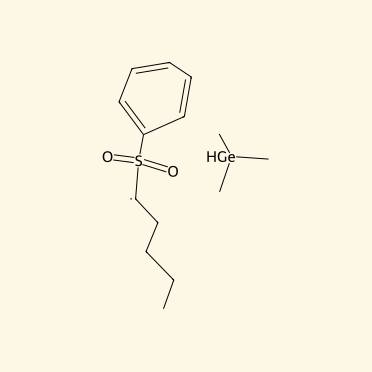 CCCC[CH]S(=O)(=O)c1ccccc1.[CH3][GeH]([CH3])[CH3]